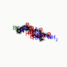 CC[C@@]1(OC(=O)CC(C)(C)CNC(=O)[C@H](CCCNC(N)=O)NC(=O)[C@@H](NC(=O)CCC(=O)O)C(C)C)C(=O)OCc2c1cc1n(c2=O)Cc2cc3c(Br)cccc3nc2-1